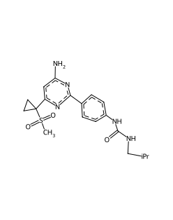 CC(C)CNC(=O)Nc1ccc(-c2nc(N)cc(C3(S(C)(=O)=O)CC3)n2)cc1